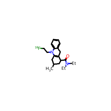 CCN(CC)C(=O)C1CC(C)CC2=C1Cc1ccccc1N2CC[18F]